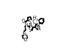 Cc1c(-c2csc(N(CCCN3CCOCC3)C(=O)c3cccs3)n2)cnn1-c1ccccc1